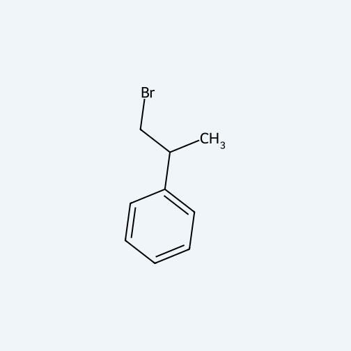 CC(CBr)c1ccccc1